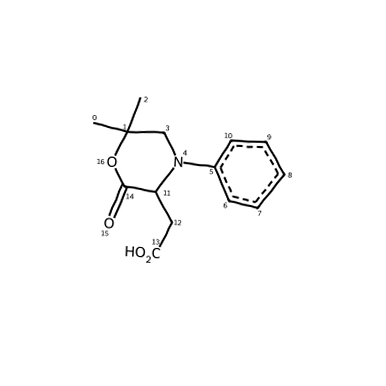 CC1(C)CN(c2ccccc2)C(CC(=O)O)C(=O)O1